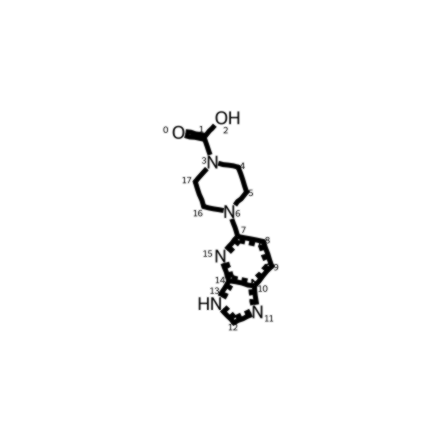 O=C(O)N1CCN(c2ccc3nc[nH]c3n2)CC1